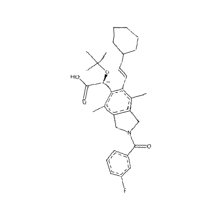 Cc1c(C=CC2CCCCC2)c([C@H](OC(C)(C)C)C(=O)O)c(C)c2c1CN(C(=O)c1cccc(F)c1)C2